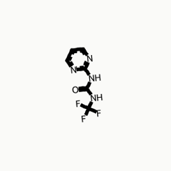 O=C(Nc1ncccn1)NC(F)(F)F